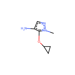 Cn1ncc(N)c1OC1CC1